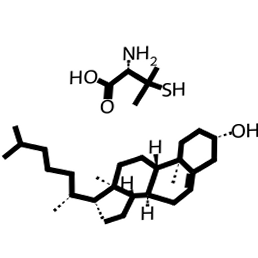 CC(C)(S)[C@@H](N)C(=O)O.CC(C)CCC[C@@H](C)[C@H]1CC[C@H]2[C@@H]3CC=C4C[C@@H](O)CC[C@]4(C)[C@H]3CC[C@]12C